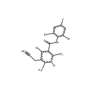 C#CCc1c(Cl)c(C(=O)Nc2c(CC)cc(F)cc2CC)c(C)[n+]([O-])c1C